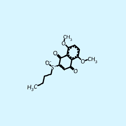 CCCC[S+]([O-])C1=CC(=O)c2c(OC)ccc(OC)c2C1=O